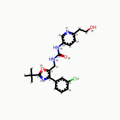 CC(C)(C)c1nc(-c2cccc(Cl)c2)c(CNC(=O)Nc2ccc(CCO)nc2)o1